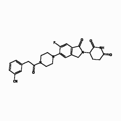 N#Cc1cccc(CC(=O)N2CCN(c3cc4c(cc3F)C(=O)N(C3CCC(=O)NC3=O)C4)CC2)c1